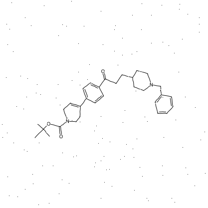 CC(C)(C)OC(=O)N1CC=C(c2ccc(C(=O)CCC3CCN(Cc4ccccc4)CC3)cc2)CC1